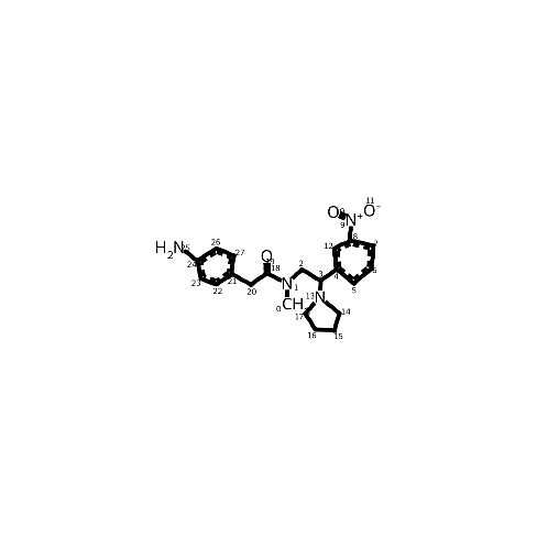 CN(CC(c1cccc([N+](=O)[O-])c1)N1CCCC1)C(=O)Cc1ccc(N)cc1